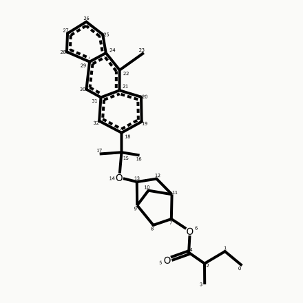 CCC(C)C(=O)OC1CC2CC1CC2OC(C)(C)c1ccc2c(C)c3ccccc3cc2c1